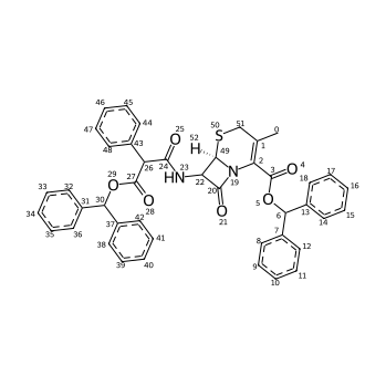 CC1=C(C(=O)OC(c2ccccc2)c2ccccc2)N2C(=O)C(NC(=O)C(C(=O)OC(c3ccccc3)c3ccccc3)c3ccccc3)[C@H]2SC1